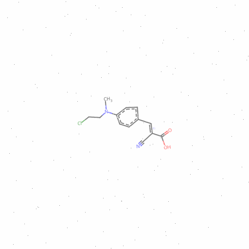 CN(CCCl)c1ccc(/C=C(\C#N)C(=O)O)cc1